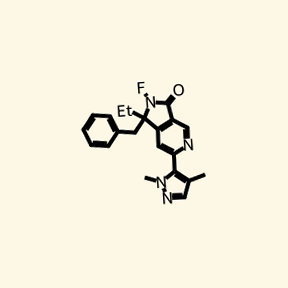 CCC1(Cc2ccccc2)c2cc(-c3c(C)cnn3C)ncc2C(=O)N1F